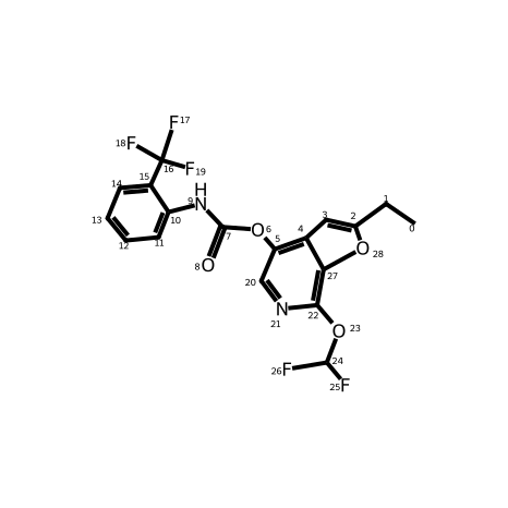 CCc1cc2c(OC(=O)Nc3ccccc3C(F)(F)F)cnc(OC(F)F)c2o1